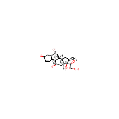 C[C@@H]1C[C@H]2[C@@H]3C[C@@H](Br)C4=CC(=O)C=C[C@]4(C)[C@H]3C(=O)C[C@]2(C)[C@@]1(O)C(=O)CO